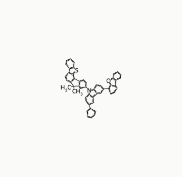 CC1(C)c2cc(-n3c4ccc(-c5ccccc5)cc4c4cc(-c5cccc6c5oc5ccccc56)ccc43)ccc2-c2c1ccc1c2sc2ccccc21